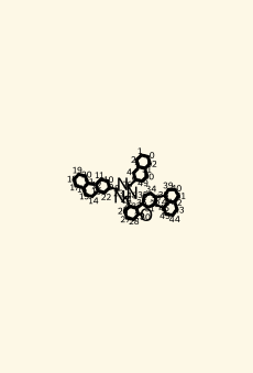 c1ccc2cc(-c3nc(-c4ccc5c(ccc6ccccc65)c4)nc(-c4cccc5oc6c7c(ccc6c45)-c4cccc5cccc-7c45)n3)ccc2c1